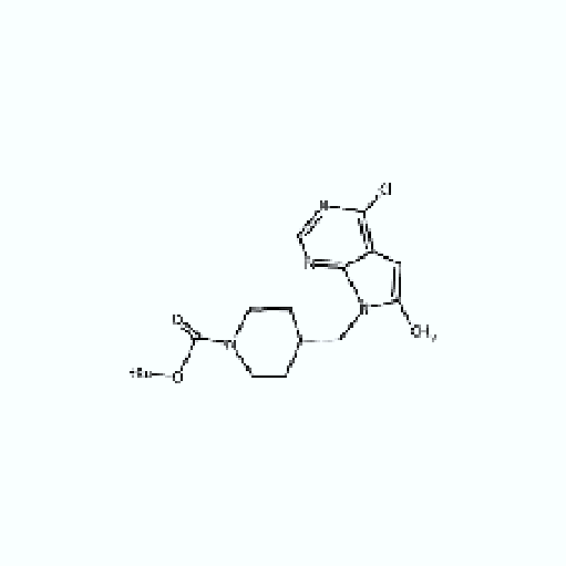 Cc1cc2c(Cl)ncnc2n1CC1CCN(C(=O)OC(C)(C)C)CC1